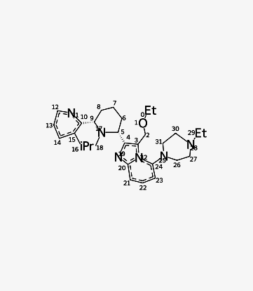 CCOCc1c([C@H]2CCC[C@@H](c3ncccc3C(C)C)N2C)nc2cccc(N3CCN(CC)CC3)n12